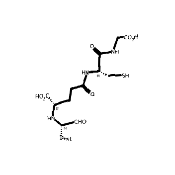 CCCC(C)[C@@H](C=O)N[C@@H](CCC(=O)N[C@@H](CS)C(=O)NCC(=O)O)C(=O)O